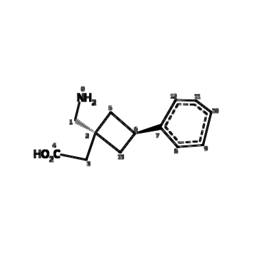 NC[C@]1(CC(=O)O)C[C@@H](c2ccccc2)C1